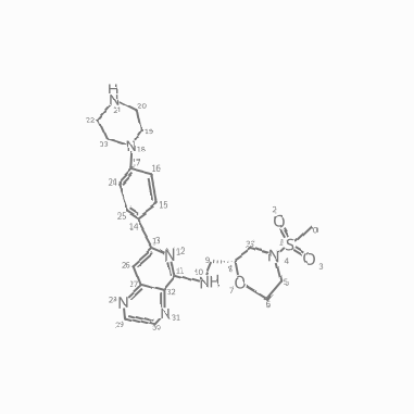 CS(=O)(=O)N1CCO[C@H](CNc2nc(-c3ccc(N4CCNCC4)cc3)cc3nccnc23)C1